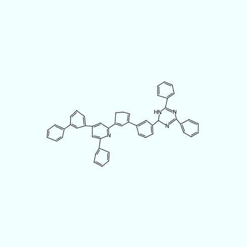 C1=C(c2cccc(C3N=C(c4ccccc4)N=C(c4ccccc4)N3)c2)C=C(c2cc(-c3cccc(-c4ccccc4)c3)cc(-c3ccccc3)n2)CC1